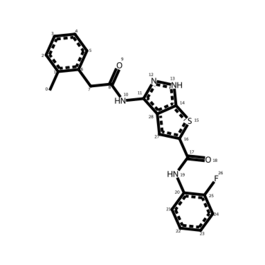 Cc1ccccc1CC(=O)Nc1n[nH]c2sc(C(=O)Nc3ccccc3F)cc12